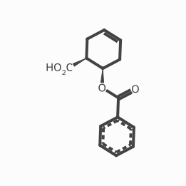 O=C(O[C@@H]1CC=CC[C@@H]1C(=O)O)c1ccccc1